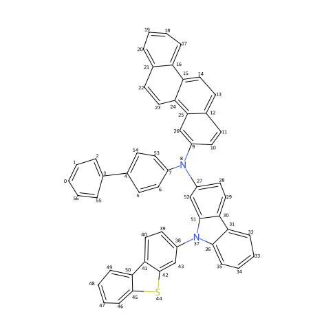 c1ccc(-c2ccc(N(c3ccc4ccc5c6ccccc6ccc5c4c3)c3ccc4c5ccccc5n(-c5ccc6c(c5)sc5ccccc56)c4c3)cc2)cc1